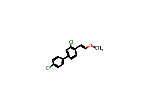 COC=Cc1ccc(-c2ccc(Cl)cc2)cc1Cl